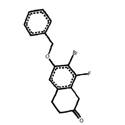 O=C1CCc2cc(OCc3ccccc3)c(Br)c(F)c2C1